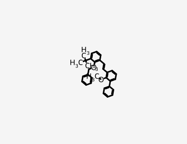 COc1c(C=Cc2cccc(C(C)(C)C)c2OCc2ccccc2)cccc1-c1ccccc1